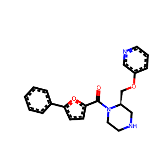 O=C(c1ccc(-c2ccccc2)o1)N1CCNC[C@@H]1COc1cccnc1